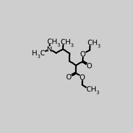 CCOC(=O)C(CCC(C)CN(C)C)C(=O)OCC